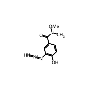 CON(C)C(=O)c1ccc(O)c(N=[N+]=N)c1